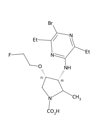 CCc1nc(N[C@@H]2C(C)N(C(=O)O)C[C@@H]2OCCF)c(CC)nc1Br